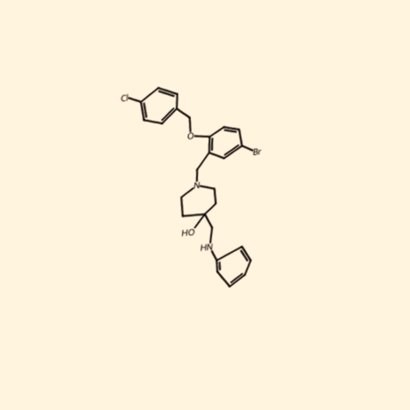 OC1(CNc2ccccc2)CCN(Cc2cc(Br)ccc2OCc2ccc(Cl)cc2)CC1